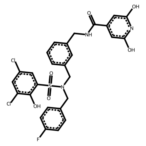 O=C(NCc1cccc(CN(Cc2ccc(F)cc2)S(=O)(=O)c2cc(Cl)cc(Cl)c2O)c1)c1cc(O)nc(O)c1